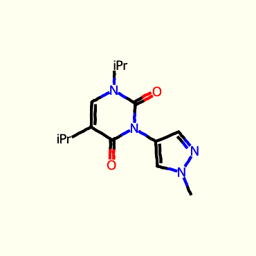 CC(C)c1cn(C(C)C)c(=O)n(-c2cnn(C)c2)c1=O